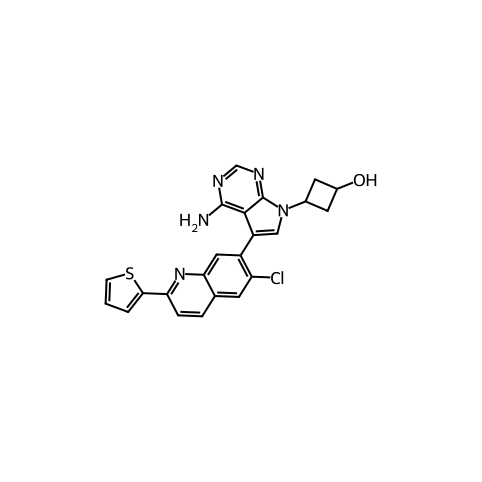 Nc1ncnc2c1c(-c1cc3nc(-c4cccs4)ccc3cc1Cl)cn2C1CC(O)C1